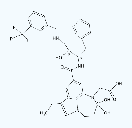 CCc1cn2c3c(cc(C(=O)N[C@@H](Cc4ccccc4)[C@H](O)CNCc4cccc(C(F)(F)F)c4)cc13)N(CC(=O)O)S(O)(O)CC2